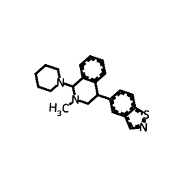 CN1CC(c2ccc3sncc3c2)c2ccccc2C1N1CCCCC1